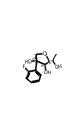 CC(O)[C@H]1O[CH][C@@](O)(c2ccccc2F)[C@@H]1O